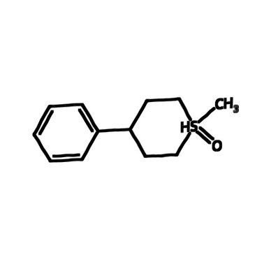 C[SH]1(=O)CCC(c2ccccc2)CC1